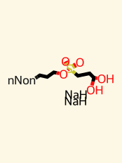 CCCCCCCCCCCCOS(=O)(=O)CCC(O)O.[NaH].[NaH]